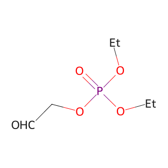 CCOP(=O)(OCC)OCC=O